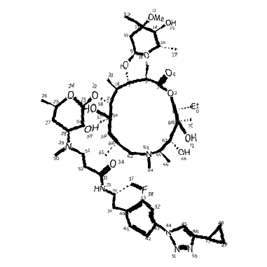 CC[C@H]1OC(=O)[C@H](C)[C@@H](O[C@H]2C[C@@](C)(OC)[C@@H](O)[C@H](C)O2)[C@H](C)[C@@H](O[C@@H]2O[C@H](C)C[C@H](N(C)CCC(=O)N[C@H](CF)Cc3ccc(-n4cc(C5CC5)nn4)cc3)[C@H]2O)[C@](C)(O)C[C@@H](C)CN(C)[C@H](C)[C@@H](O)[C@]1(C)O